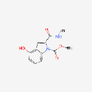 CC(C)NC(=O)c1cc2c(O)cccc2n1C(=O)OC(C)(C)C